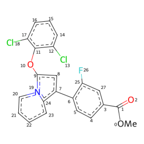 COC(=O)c1ccc(-c2cc(Oc3c(Cl)cccc3Cl)n3ccccc23)c(F)c1